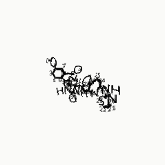 COc1ccc2c(c1)C(=O)N(C[C@@]1(c3cc4nc(Nc5nccs5)ccc4o3)NC(=O)NC1=O)C2